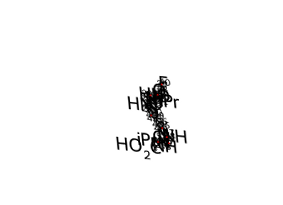 CC(C)[C@H](NC(=O)O)C(=O)N1CCC[C@H]1c1nc(-c2ccc(-c3ccc(-c4c[nH]c([C@@H]5CCCN5C(=O)[C@@H](NC(=O)OCCF)C(C)C)n4)cc3)cc2)c[nH]1